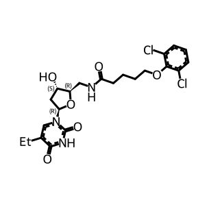 CCc1cn([C@H]2C[C@H](O)[C@@H](CNC(=O)CCCCOc3c(Cl)cccc3Cl)O2)c(=O)[nH]c1=O